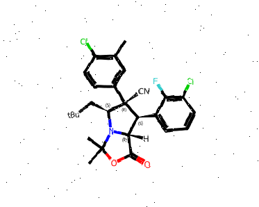 Cc1cc([C@@]2(C#N)[C@H](CC(C)(C)C)N3[C@@H](C(=O)OC3(C)C)[C@@H]2c2cccc(Cl)c2F)ccc1Cl